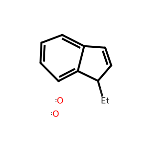 CCC1C=Cc2ccccc21.[O].[O]